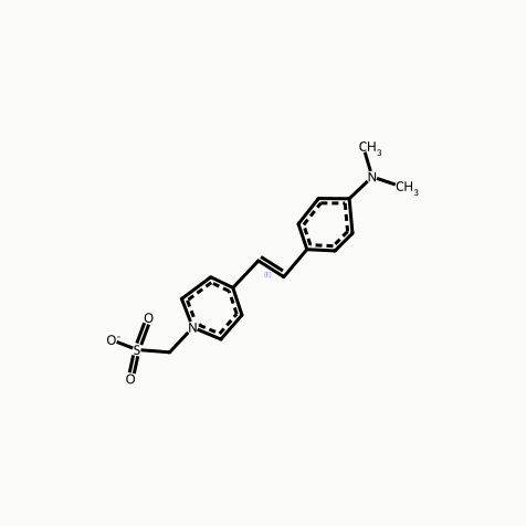 CN(C)c1ccc(/C=C/c2cc[n+](CS(=O)(=O)[O-])cc2)cc1